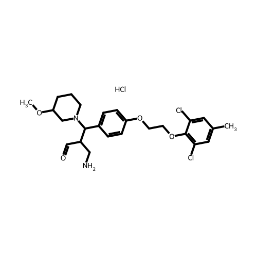 COC1CCCN(C(c2ccc(OCCOc3c(Cl)cc(C)cc3Cl)cc2)C(C=O)CN)C1.Cl